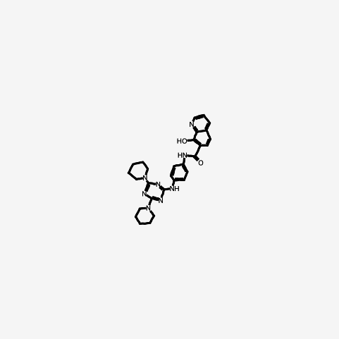 O=C(Nc1ccc(Nc2nc(N3CCCCC3)nc(N3CCCCC3)n2)cc1)c1ccc2cccnc2c1O